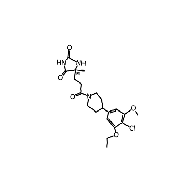 CCOc1cc(C2CCN(C(=O)CC[C@@]3(C)NC(=O)NC3=O)CC2)cc(OC)c1Cl